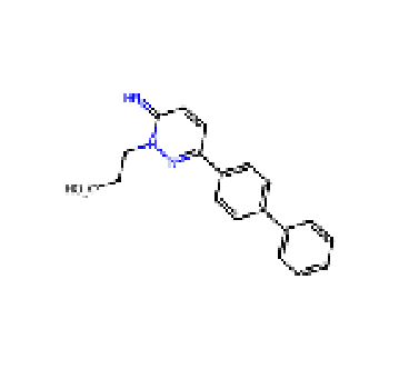 N=c1ccc(-c2ccc(-c3ccccc3)cc2)nn1CCC(=O)O